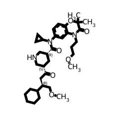 COCCCN1C(=O)C(C)(C)Oc2ccc(N(C(=O)[C@H]3CNC[C@@H](C(=O)C[C@@H](COC)C4CCCCC4)C3)C3CC3)cc21